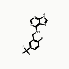 Fc1ccc(C(F)(F)F)cc1CNc1ncnc2[nH]cnc12